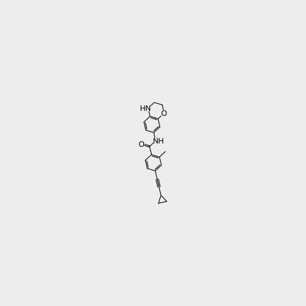 Cc1cc(C#CC2CC2)ccc1C(=O)Nc1ccc2c(c1)OCCN2